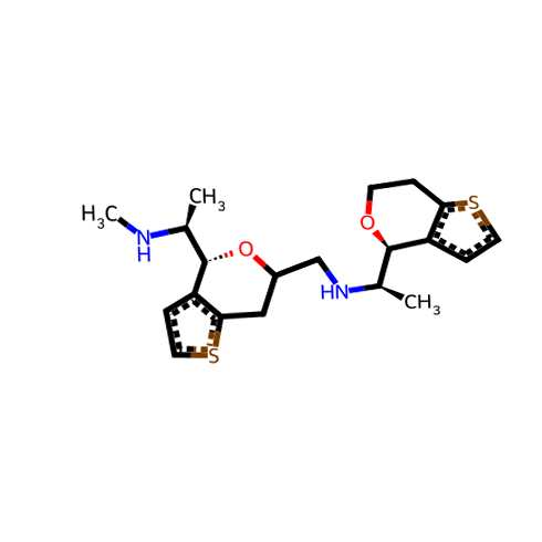 CN[C@@H](C)[C@@H]1OC(CN[C@H](C)[C@H]2OCCc3sccc32)Cc2sccc21